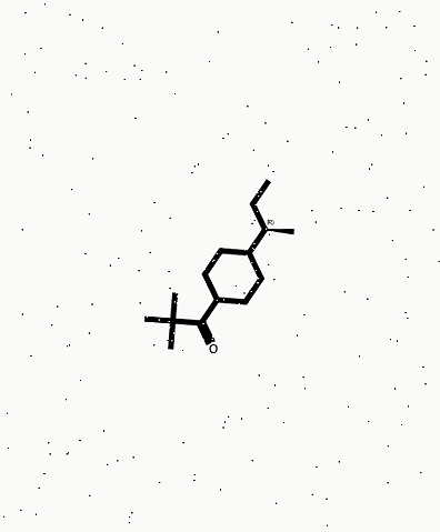 CC[C@@H](C)C1CCC(C(=O)C(C)(C)C)CC1